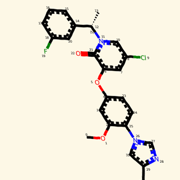 COc1cc(Oc2cc(Cl)cn([C@@H](C)c3cccc(F)c3)c2=O)ccc1-n1cnc(C)c1